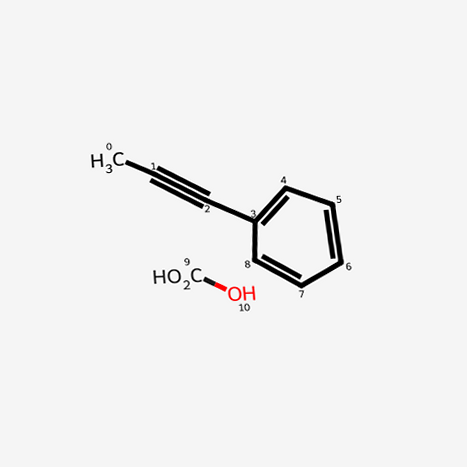 CC#Cc1ccccc1.O=C(O)O